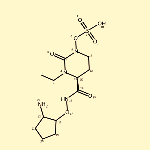 CCN1C(=O)N(OS(=O)(=O)O)CC[C@H]1C(=O)NOC1CCCC1N